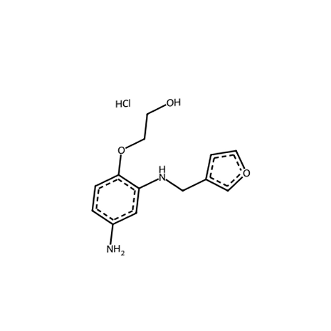 Cl.Nc1ccc(OCCO)c(NCc2ccoc2)c1